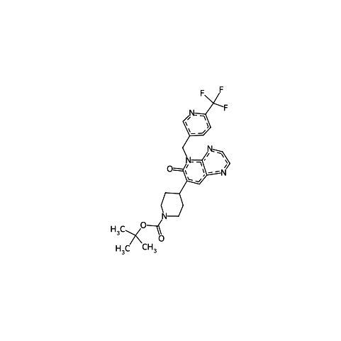 CC(C)(C)OC(=O)N1CCC(c2cc3nccnc3n(Cc3ccc(C(F)(F)F)nc3)c2=O)CC1